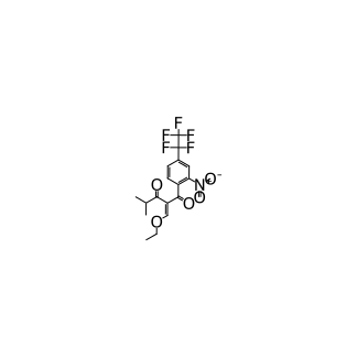 CCOC=C(C(=O)c1ccc(C(F)(F)C(F)(F)F)cc1[N+](=O)[O-])C(=O)C(C)C